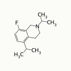 CC(C)c1ccc(F)c2c1CCN(C(C)C)C2